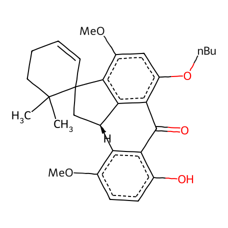 CCCCOc1cc(OC)c2c3c1C(=O)c1c(O)ccc(OC)c1[C@@H]3CC21C=CCCC1(C)C